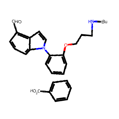 CC(C)(C)NCCCOc1ccccc1-n1ccc2c(C=O)cccc21.O=C(O)c1ccccc1